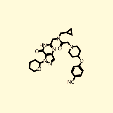 N#Cc1ccc(OC2CCN(CC(=O)N(Cc3nc4cnn(C5CCCCO5)c4c(=O)[nH]3)CC3CC3)CC2)cc1